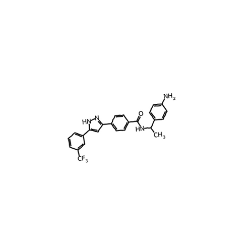 CC(NC(=O)c1ccc(-c2cc(-c3cccc(C(F)(F)F)c3)[nH]n2)cc1)c1ccc(N)cc1